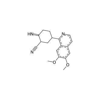 COc1cc2ccnc(C3CCC(=N)C(C#N)C3)c2cc1OC